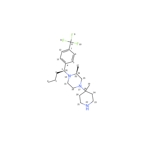 CCC[C@@H](c1ccc(C(F)(F)F)cc1)N1CCN(C2(C)CCNCC2)C[C@@H]1C